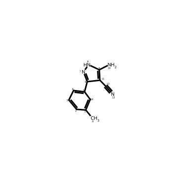 Cc1cccc(-c2n[nH]c(N)c2C#N)c1